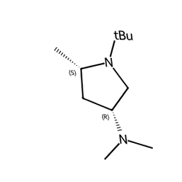 C[C@H]1C[C@@H](N(C)C)CN1C(C)(C)C